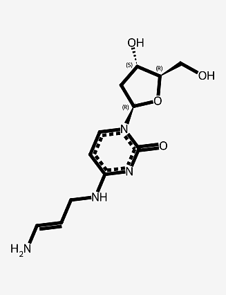 NC=CCNc1ccn([C@H]2C[C@H](O)[C@@H](CO)O2)c(=O)n1